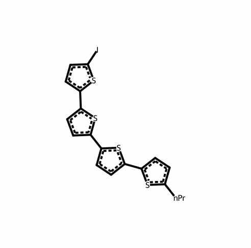 CCCc1ccc(-c2ccc(-c3ccc(-c4ccc(I)s4)s3)s2)s1